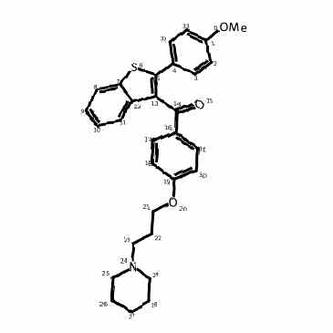 COc1ccc(-c2sc3ccccc3c2C(=O)c2ccc(OCCCN3CCCCC3)cc2)cc1